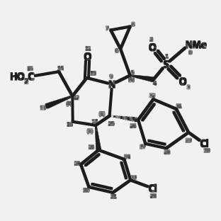 CNS(=O)(=O)C[C@H](C1CC1)N1C(=O)[C@@](C)(CC(=O)O)C[C@H](c2cccc(Cl)c2)[C@H]1c1ccc(Cl)cc1